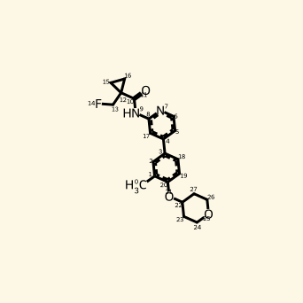 Cc1cc(-c2ccnc(NC(=O)C3(CF)CC3)c2)ccc1OC1CCOCC1